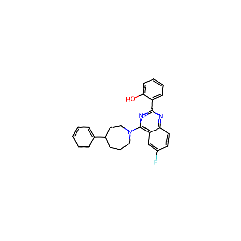 Oc1ccccc1-c1nc(N2CCCC(C3=CC=CCC3)CC2)c2cc(F)ccc2n1